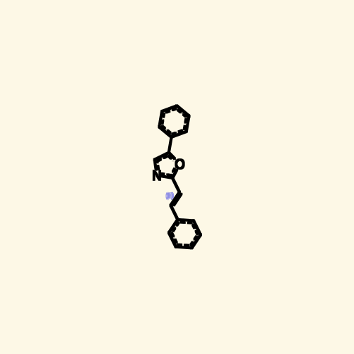 C(=C\c1ncc(-c2ccccc2)o1)/c1ccccc1